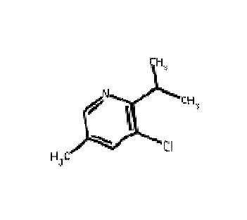 Cc1cnc(C(C)C)c(Cl)c1